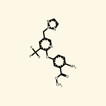 COC(=O)c1cc(Oc2ncc(Cn3nccn3)cc2C(F)(F)F)ccc1N